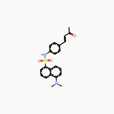 CC(=O)/C=C/c1ccc(NS(=O)(=O)c2cccc3c(N(C)C)cccc23)cc1